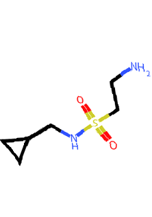 NCCS(=O)(=O)NCC1CC1